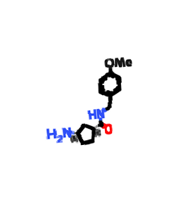 COc1ccc(CNC(=O)[C@@H]2CC[C@H](N)C2)cc1